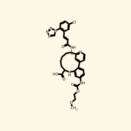 COCCOC(=O)Nc1ccc2c(c1)NC(C(=O)O)CCCC[C@H](NC(=O)/C=C/c1cc(Cl)ccc1-n1cnnn1)c1cc-2ccn1